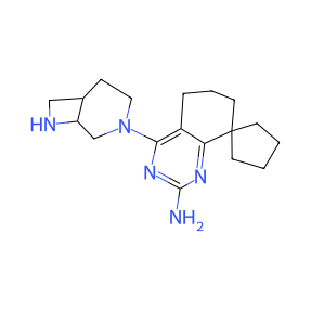 Nc1nc(N2CCC3CNC3C2)c2c(n1)C1(CCCC1)CCC2